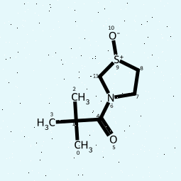 CC(C)(C)C(=O)N1CC[S+]([O-])C1